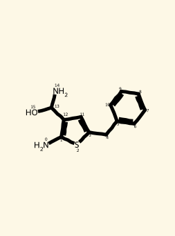 Nc1sc(Cc2ccccc2)cc1C(N)O